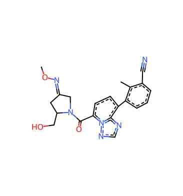 CO/N=C1\CC(CO)N(C(=O)c2ccc(-c3cccc(C#N)c3C)c3ncnn23)C1